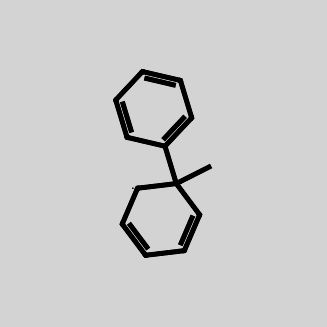 CC1(c2ccccc2)[CH]C=CC=C1